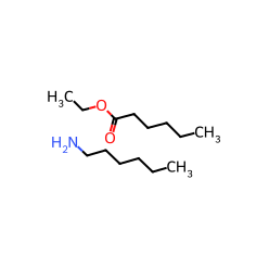 CCCCCC(=O)OCC.CCCCCCN